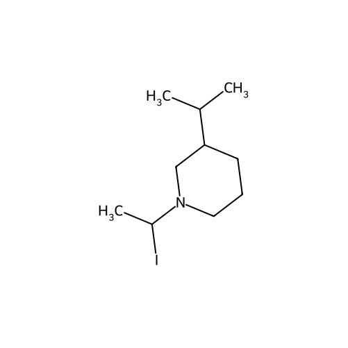 CC(C)C1CCCN(C(C)I)C1